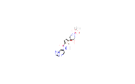 CN(C(=O)c1ccc(C2(O)CCN(C(=O)OC(C)(C)C)CC2)s1)c1ccn2ccnc2c1